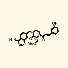 COC[C@H]1C(=O)N(Cc2ccc3c(N)ncnc3c2)CCN1C(=O)C=Cc1cccc(O)c1